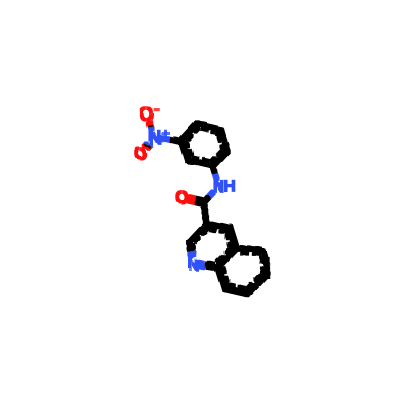 O=C(Nc1cccc([N+](=O)[O-])c1)c1cnc2ccccc2c1